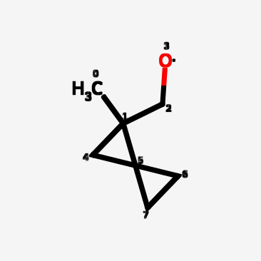 CC1(C[O])CC12CC2